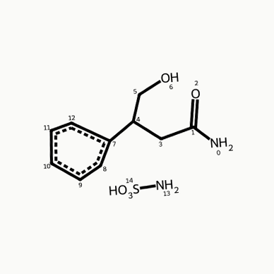 NC(=O)CC(CO)c1ccccc1.NS(=O)(=O)O